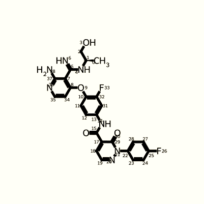 C[C@H](CO)NC(=N)c1c(Oc2ccc(NC(=O)c3ccnn(-c4ccc(F)cc4)c3=O)cc2F)ccnc1N